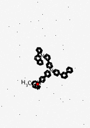 C[C@H]1CC2C[C@@H]3CC2CC(c2ccc(-c4ccc(N(c5ccc(-c6cccc(-c7ccccc7)c6)cc5)c5ccc(-c6cccc(-n7c8ccccc8c8ccc9ccccc9c87)c6)cc5)cc4)cc2)C3C1